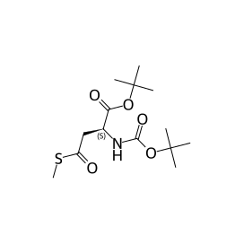 CSC(=O)C[C@H](NC(=O)OC(C)(C)C)C(=O)OC(C)(C)C